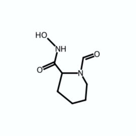 O=CN1CCCCC1C(=O)NO